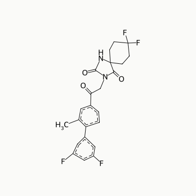 Cc1cc(C(=O)CN2C(=O)NC3(CCC(F)(F)CC3)C2=O)ccc1-c1cc(F)cc(F)c1